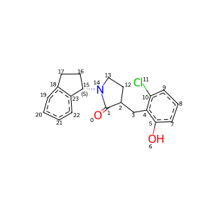 O=C1C(Cc2c(O)cccc2Cl)CCN1[C@H]1CCc2ccccc21